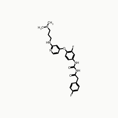 CN(C)CCCNc1cc(Oc2ccc(NC(=O)NC(=O)Cc3ccc(F)cc3)cc2F)ccn1